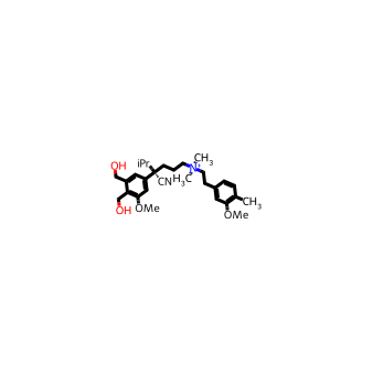 COc1cc(CC[N+](C)(C)CCC[C@@](C#N)(c2cc(CO)c(CO)c(OC)c2)C(C)C)ccc1C